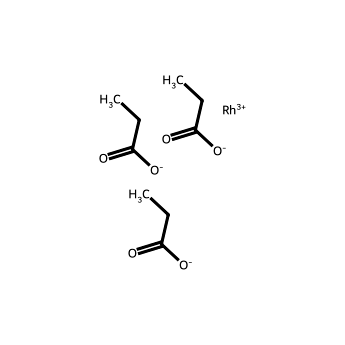 CCC(=O)[O-].CCC(=O)[O-].CCC(=O)[O-].[Rh+3]